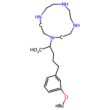 CCCCOc1cccc(CCCC(C(=O)O)N2CCNCCNCCNCC2)c1